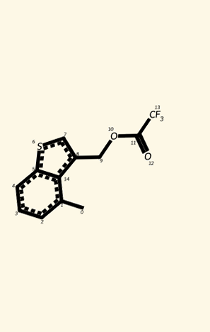 Cc1cccc2scc(COC(=O)C(F)(F)F)c12